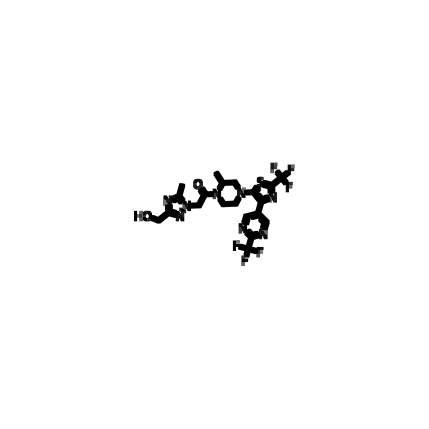 Cc1nc(CO)nn1CC(=O)N1CCN(c2sc(C(F)(F)F)nc2-c2cnc(C(F)(F)F)nc2)CC1C